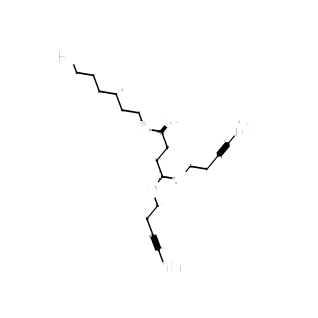 CCCC#CCCOC(CCC(=O)OCCCCCCBr)OCCC#CCCC